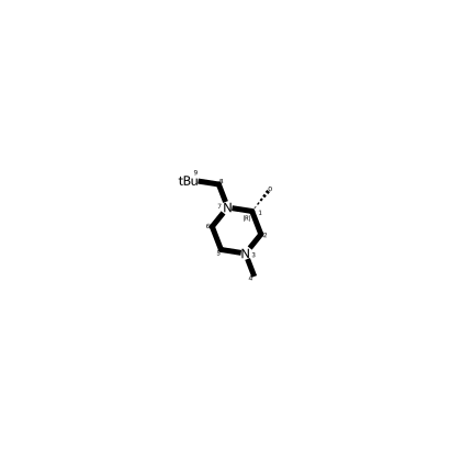 C[C@@H]1CN(C)CCN1CC(C)(C)C